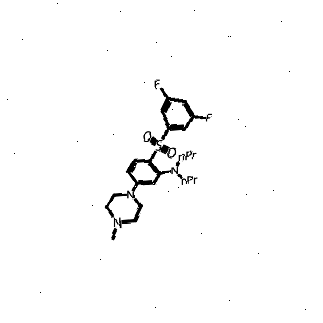 CCCN(CCC)c1cc(N2CCN(C)CC2)ccc1S(=O)(=O)c1cc(F)cc(F)c1